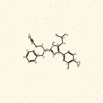 Cc1cc(-c2nc(N(CCC#N)Cc3ccccc3)sc2CC(C)C)ccc1Cl